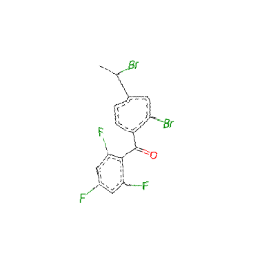 CC(Br)c1ccc(C(=O)c2c(F)cc(F)cc2F)c(Br)c1